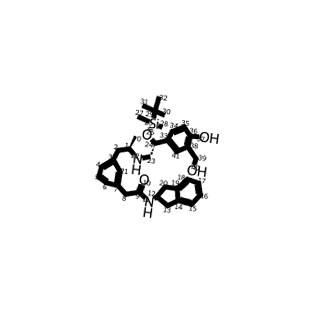 C[C@H](Cc1cccc(CC(=O)NC2Cc3ccccc3C2)c1)NC[C@H](O[Si](C)(C)C(C)(C)C)c1ccc(O)c(CO)c1